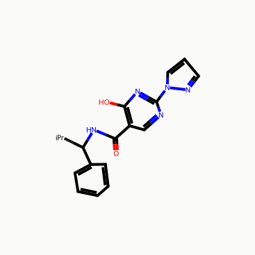 CC(C)C(NC(=O)c1cnc(-n2cccn2)nc1O)c1ccccc1